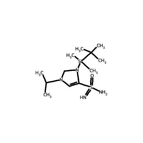 CC(C)N1C=C(S(=N)(N)=O)N([Si](C)(C)C(C)(C)C)C1